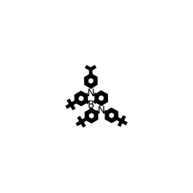 CC(C)c1ccc(N2c3ccc(C(C)(C)C)cc3B3c4cc(C(C)(C)C)ccc4N(c4ccc(C(C)(C)C)cc4)c4cccc2c43)cc1